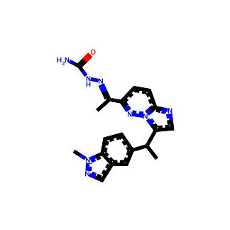 C/C(=N\NC(N)=O)c1ccc2ncc(C(C)c3ccc4c(cnn4C)c3)n2n1